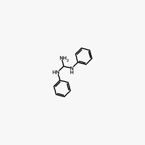 NC(Nc1ccccc1)Nc1ccccc1